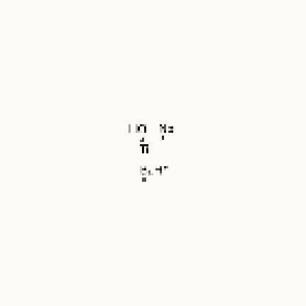 [BaH+].[Nb].[OH-].[Ti]